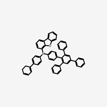 C1=CCCC(c2ccc(N(c3ccc(-c4c(-c5ccccc5)cc(-c5ccccc5)cc4-c4ccccc4)cc3)c3cccc4c3oc3ccccc34)cc2)=C1